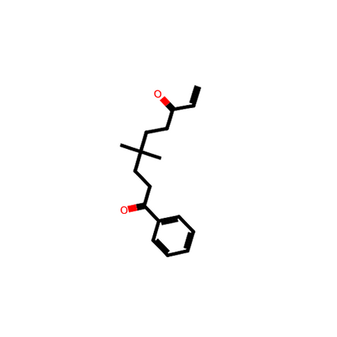 C=CC(=O)CCC(C)(C)CCC(=O)c1ccccc1